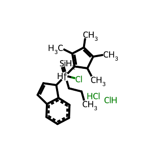 CC[CH2][Hf](=[SiH2])([Cl])([C]1=C(C)C(C)=C(C)C1C)[CH]1C=Cc2ccccc21.Cl.Cl